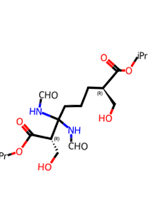 CC(C)OC(=O)[C@@H](CO)CCCC(NC=O)(NC=O)[C@H](CO)C(=O)OC(C)C